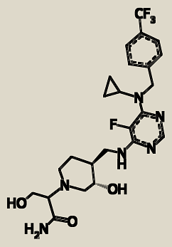 NC(=O)C(CO)N1CC[C@@H](CNc2ncnc(N(Cc3ccc(C(F)(F)F)cc3)C3CC3)c2F)[C@H](O)C1